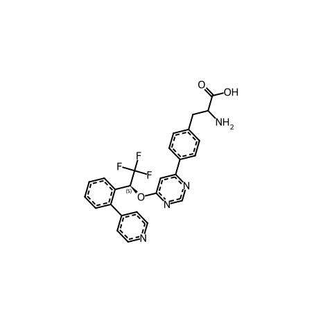 NC(Cc1ccc(-c2cc(O[C@@H](c3ccccc3-c3ccncc3)C(F)(F)F)ncn2)cc1)C(=O)O